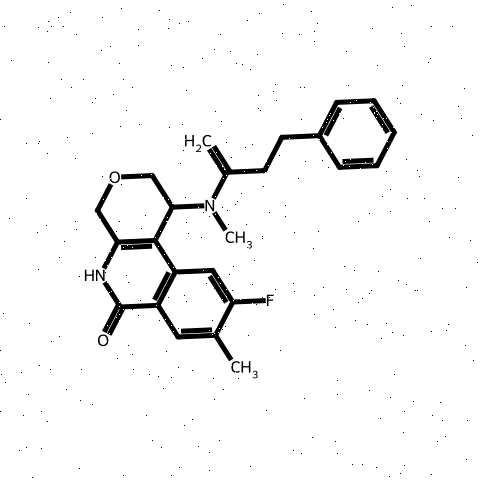 C=C(CCc1ccccc1)N(C)C1COCc2[nH]c(=O)c3cc(C)c(F)cc3c21